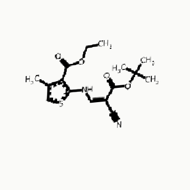 CCOC(=O)c1c(C)csc1NC=C(C#N)C(=O)OC(C)(C)C